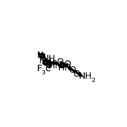 COc1cc(C(=O)NCCOCCOCCN)ccc1NCC#Cc1cc2c(N[C@@H]3CCN(C)C[C@@H]3F)cccc2n1CC(F)(F)F